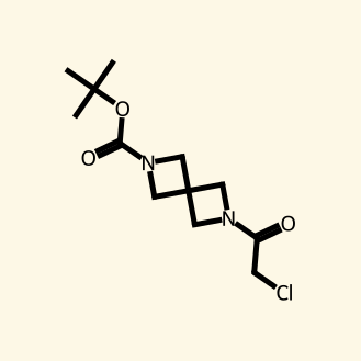 CC(C)(C)OC(=O)N1CC2(CN(C(=O)CCl)C2)C1